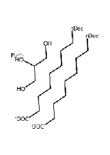 CCCCCCCCCCCCCCCCCC(=O)[O-].CCCCCCCCCCCCCCCCCC(=O)[O-].OCC(O)CO.[Pb+2]